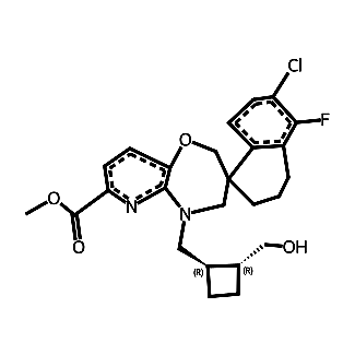 COC(=O)c1ccc2c(n1)N(C[C@@H]1CC[C@H]1CO)CC1(CCCc3c1ccc(Cl)c3F)CO2